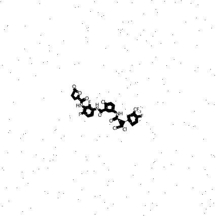 O=C1CCC(C(=O)Nc2c(F)ccc(NC(=O)c3cc(NC(=O)[C@H]4[C@H](c5ccc(F)c(C(F)(F)F)c5)C4(Cl)Cl)ccc3Cl)c2F)O1